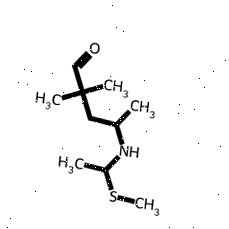 CSC(C)NC(C)CC(C)(C)C=O